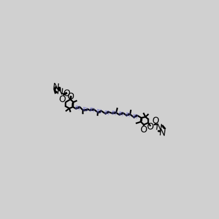 CC1=C(/C=C/C(C)=C/C=C/C(C)=C/C=C/C=C(C)/C=C/C=C(C)/C=C/C2=C(C)C(=O)C(OC(=O)n3ccnc3)CC2(C)C)C(C)(C)CC(OC(=O)n2ccnc2)C1=O